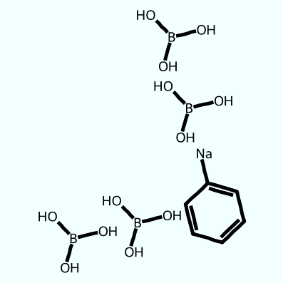 OB(O)O.OB(O)O.OB(O)O.OB(O)O.[Na][c]1ccccc1